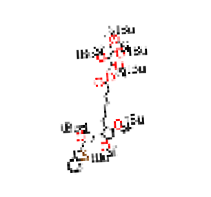 CC(C)(C)[Si](C)(C)OC[C@H](O[Si](C)(C)C(C)(C)C)[C@H](O[Si](C)(C)C(C)(C)C)[C@@H](COC(=O)CCCCCC[C@@H]1[C@@H](CC[C@@H](O[Si](C)(C)C(C)(C)C)c2cc3ccccc3s2)[C@H](O[Si](C)(C)C(C)(C)C)C[C@@H]1O[Si](C)(C)C(C)(C)C)O[Si](C)(C)C(C)(C)C